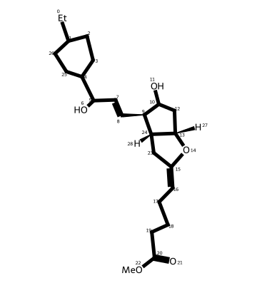 CCC1CCC(C(O)C=C[C@H]2C(O)C[C@@H]3OC(=CCCCC(=O)OC)C[C@@H]32)CC1